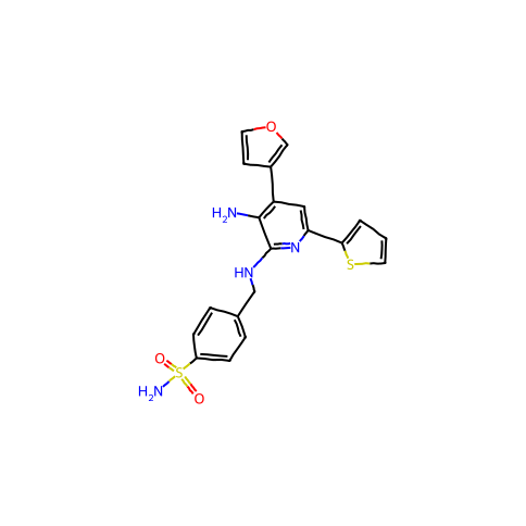 Nc1c(-c2ccoc2)cc(-c2cccs2)nc1NCc1ccc(S(N)(=O)=O)cc1